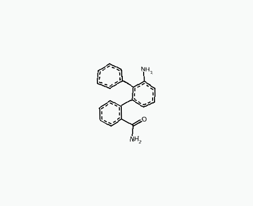 NC(=O)c1ccccc1-c1cccc(N)c1-c1ccccc1